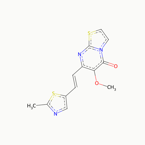 COc1c(/C=C/c2cnc(C)s2)nc2sccn2c1=O